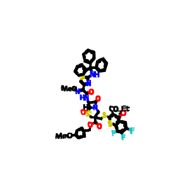 CCOC(=O)c1c(SCC2(C(=O)OCc3ccc(OC)cc3)CN3C(=O)C(NC(=O)C(=NOC)c4csc(NC(c5ccccc5)(c5ccccc5)c5ccccc5)n4)[C@H]3[S+]([O-])C2)sc2c(F)c(F)c(F)cc2c1=O